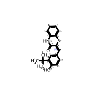 CC(C)(C)c1cc(/C=C2/Sc3ccccc3NC2=O)ccc1O